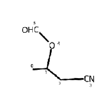 CC(CC#N)OC=O